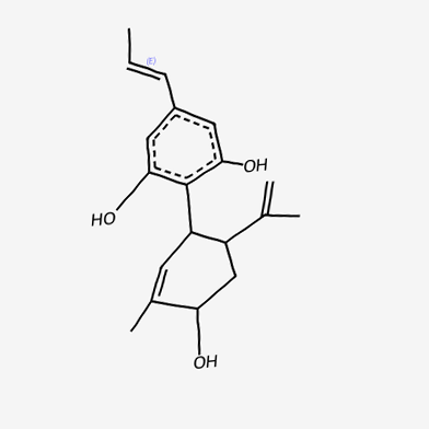 C=C(C)C1CC(O)C(C)=CC1c1c(O)cc(/C=C/C)cc1O